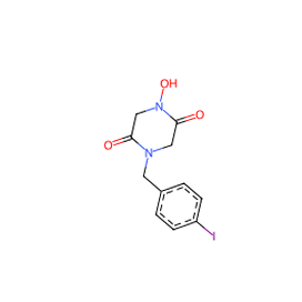 O=C1CN(Cc2ccc(I)cc2)C(=O)CN1O